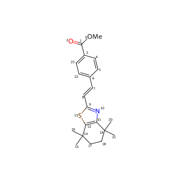 COC(=O)c1ccc(C=Cc2nc3c(s2)C(C)(C)CCC3(C)C)cc1